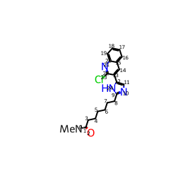 CNC(=O)CCCCCCc1ncc(-c2cc3ccccc3nc2Cl)[nH]1